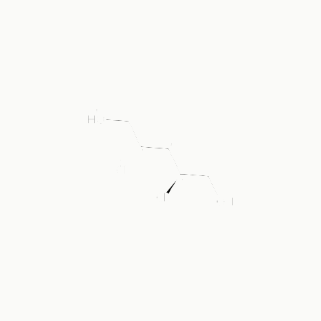 OC[C@@H](Cl)C[C@H](Cl)CO